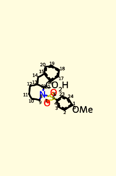 COc1ccc(S(=O)(=O)N2CCCCC(Cc3ccccc3)C2C(=O)O)cc1